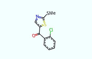 CSc1ncc(C(=O)c2ccccc2Cl)s1